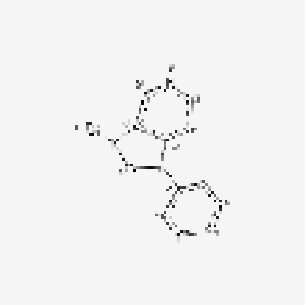 OC1OC(c2ccccc2)c2ccncc21